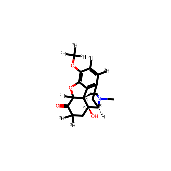 [2H]c1c([2H])c(OC([2H])([2H])[2H])c2c3c1C[C@H]1N(C)CC[C@@]34C([2H])(O2)C(=O)C([2H])([2H])C[C@@]14O